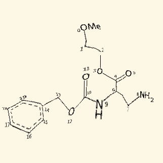 COCCOC(=O)C(CN)NC(=O)OCc1ccccc1